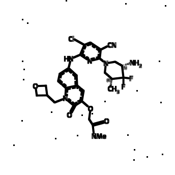 CNC(=O)COc1cc2cc(Nc3nc(N4C[C@@H](C)C(F)(F)[C@@H](N)C4)c(C#N)cc3Cl)ccc2n(CC2COC2)c1=O